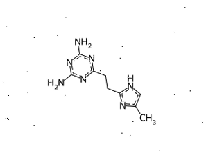 Cc1c[nH]c(CCc2nc(N)nc(N)n2)n1